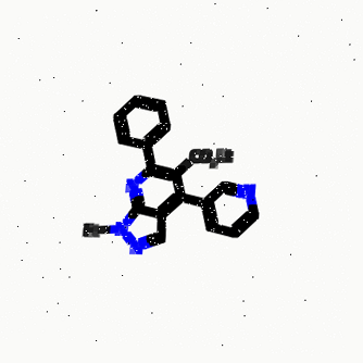 CCOC(=O)c1c(-c2ccccc2)nc2c(cnn2CC)c1-c1cccnc1